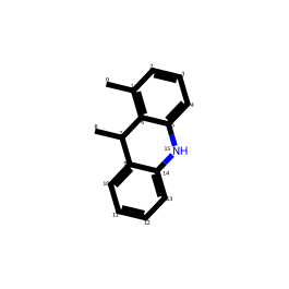 Cc1cccc2c1C(C)c1ccccc1N2